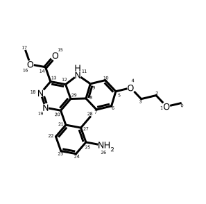 COCCOc1ccc2c(c1)[nH]c1c(C(=O)OC)nnc(-c3cccc(N)c3C)c12